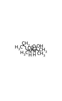 C=C(C)CCC(C)(C)NC(=O)N[C@H](C(=O)O)C(C)C